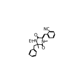 CCN1C(=O)/C(=C/c2ccccc2C#N)N(C)C(=O)C1(C)Cc1ccccc1